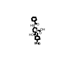 O=C(N[C@@H]1CC[C@@](Cc2ccc([N+](=O)[O-])cc2)(C(=O)O)N(C(=O)O)C1)c1ccccc1